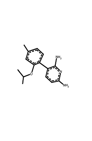 Cc1ccc(-c2ccc(N)nc2N)c(OC(C)C)c1